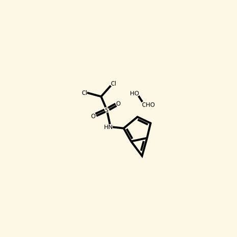 O=CO.O=S(=O)(Nc1ccc2cc1-2)C(Cl)Cl